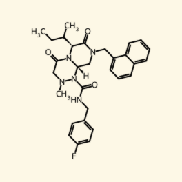 CCC(C)[C@H]1C(=O)N(Cc2cccc3ccccc23)C[C@H]2N1C(=O)CN(C)N2C(=O)NCc1ccc(F)cc1